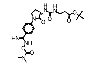 CN(C)C(=O)ONC(=N)c1ccc(N2CC[C@H](NC(=O)NCCC(=O)OC(C)(C)C)C2=O)cc1